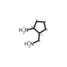 NCC1CCCC1N